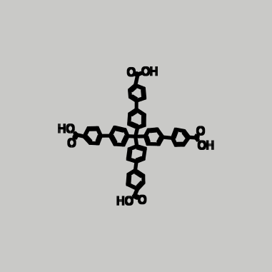 O=C(O)c1ccc(-c2ccc(C(c3ccc(-c4ccc(C(=O)O)cc4)cc3)(c3ccc(-c4ccc(C(=O)O)cc4)cc3)c3ccc(-c4ccc(C(=O)O)cc4)cc3)cc2)cc1